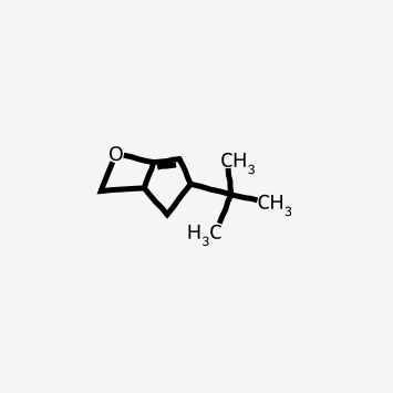 CC(C)(C)C1C=C2OCC2C1